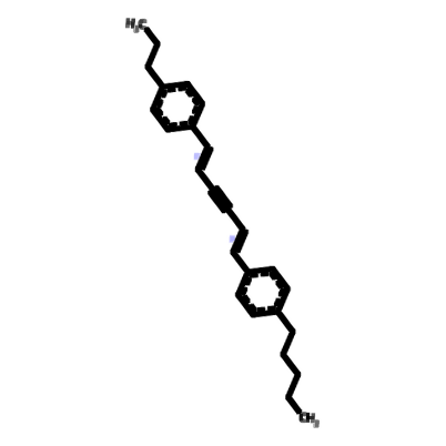 CCCCCc1ccc(/C=C/C#C/C=C/c2ccc(CCC)cc2)cc1